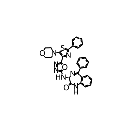 O=C1Nc2ccccc2C(c2ccccc2)=N[C@@H]1Nc1nnc(-c2nc(-c3ccccc3)sc2N2CCOCC2)o1